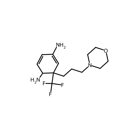 NC1=CC(CCCN2CCOCC2)(C(F)(F)F)C(N)C=C1